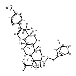 C=C(C)[C@@H]1CC[C@]2(NCCN3C[C@@H]4CC3CO4)CC[C@]3(C)[C@H](CC[C@@H]4[C@@]5(C)CC=C(c6ccc(C(=O)O)cc6)C(C)(C)[C@@H]5CC[C@]43C)[C@@H]12